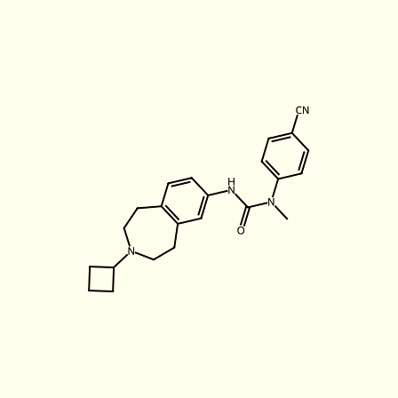 CN(C(=O)Nc1ccc2c(c1)CCN(C1CCC1)CC2)c1ccc(C#N)cc1